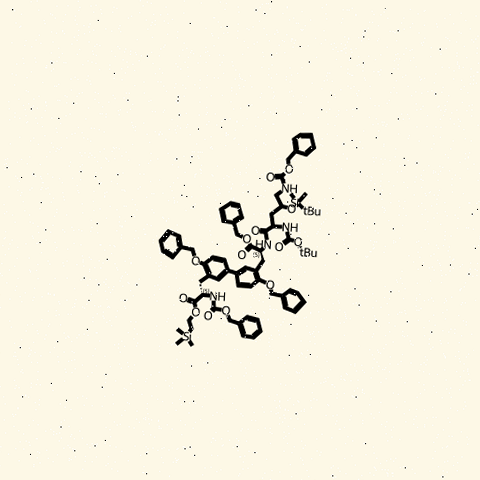 CC(C)(C)OC(=O)NC(CC(CNC(=O)OCc1ccccc1)O[Si](C)(C)C(C)(C)C)C(=O)N[C@@H](Cc1cc(-c2ccc(OCc3ccccc3)c(C[C@H](NC(=O)OCc3ccccc3)C(=O)OCC[Si](C)(C)C)c2)ccc1OCc1ccccc1)C(=O)OCc1ccccc1